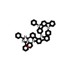 c1ccc(-c2nc(-c3ccccc3)nc(-c3cccc4c5c(ccc6c7ccccc7n(-c7ccc8c(c7)c7c(ccc9c%10ccccc%10n(-c%10ccccc%10)c97)n8-c7ccccc7)c65)n(-c5ccccc5)c34)n2)cc1